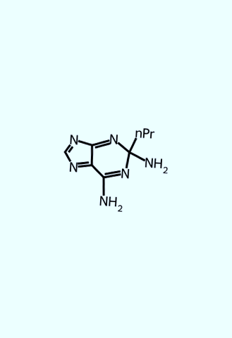 CCCC1(N)N=C(N)C2=NC=NC2=N1